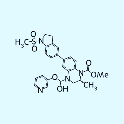 COC(=O)N1c2ccc(-c3ccc4c(c3)CCN4S(C)(=O)=O)cc2N(C(O)Oc2cccnc2)C[C@@H]1C